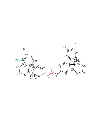 CC1([C@]2(c3ccc(F)c(F)c3)C=C[C@H](COC[C@H]3C=C[C@@](c4ccc(F)c(F)c4)(C4(C)CCCCC4)C=C3)C=C2)CCCCC1